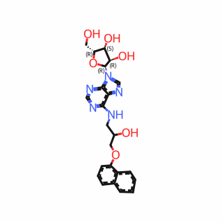 OC[C@H]1O[C@@H](n2cnc3c(NCC(O)COc4cccc5ccccc45)ncnc32)[C@H](O)[C@@H]1O